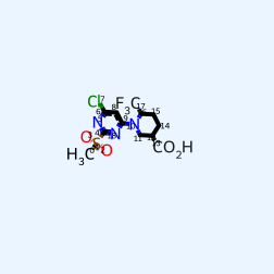 CS(=O)(=O)c1nc(Cl)cc(N2CC(C(=O)O)CCC2C(F)(F)F)n1